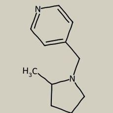 CC1CCCN1Cc1ccncc1